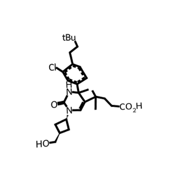 CC(C)(C)CCc1ccc(C2(C)NC(=O)N([C@H]3C[C@H](CO)C3)C=C2C(C)(C)CCC(=O)O)cc1Cl